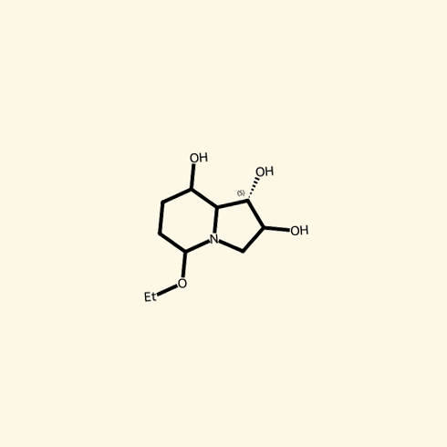 CCOC1CCC(O)C2[C@H](O)C(O)CN12